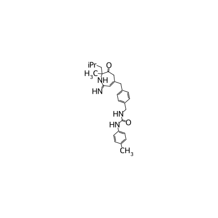 Cc1ccc(NC(=O)NCc2ccc(CC3=CC(=N)NC(C)(CC(C)C)C(=O)C3)cc2)cc1